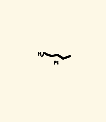 CCCCP.[Pt]